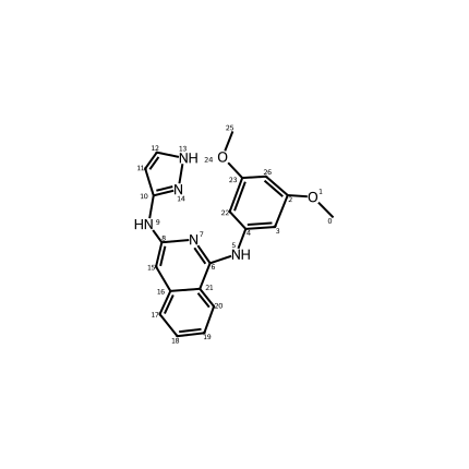 COc1cc(Nc2nc(Nc3cc[nH]n3)cc3ccccc23)cc(OC)c1